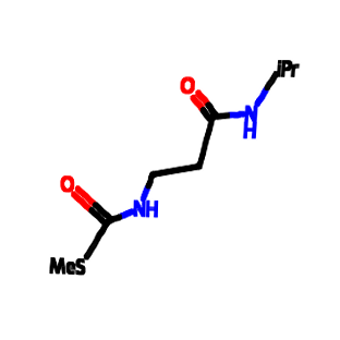 CSC(=O)NCCC(=O)NC(C)C